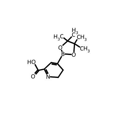 CC1(C)OB(C2=CC(C(=O)O)=NCC2)OC1(C)C